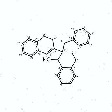 OC1c2ccccc2CCC1(Cc1ccccc1)C1=Cc2ccccc2CC1